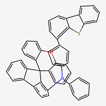 c1ccc(N(c2ccc(-c3cccc4c3sc3ccccc34)cc2)c2cccc3c2C2(c4ccccc4Oc4ccccc42)c2ccccc2-3)cc1